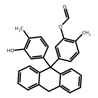 Cc1ccc(C2(c3ccc(C)c(OC=O)c3)c3ccccc3Cc3ccccc32)cc1O